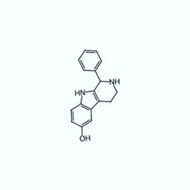 Oc1ccc2[nH]c3c(c2c1)CCNC3c1ccccc1